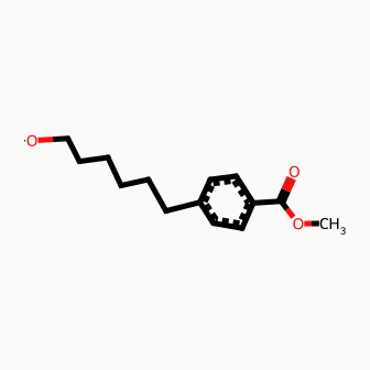 COC(=O)c1ccc(CCCCCC[O])cc1